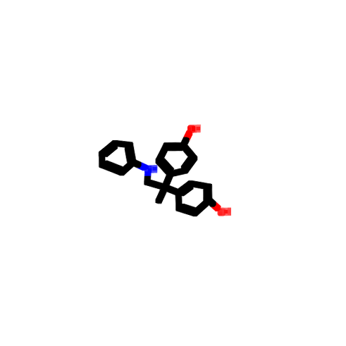 CC(CNc1ccccc1)(c1ccc(O)cc1)c1ccc(O)cc1